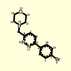 Brc1ccc(-c2ccc(CN3CCOCC3)nn2)cc1